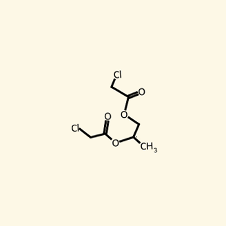 C[C](COC(=O)CCl)OC(=O)CCl